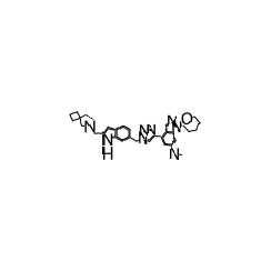 CN(C)c1cc(-c2cn(Cc3ccc4cc(CN5CCC6(CCC6)C5)[nH]c4c3)nn2)c2cnn(C3CCCCO3)c2c1